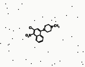 CN1CCN(c2cc(Cl)c([N+](=O)[O-])c3ccccc23)CC1